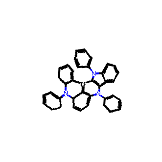 C1=CCCC(N2C3=CC=CC4C3B(C3=CC=CCC3N4C3=CC=CCC3)c3c2c2ccccc2n3-c2ccccc2)=C1